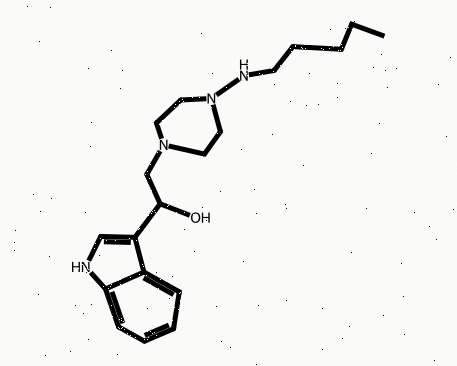 CCCCCNN1CCN(CC(O)c2c[nH]c3ccccc23)CC1